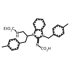 CCOC(=O)NCC(Cc1ccc(C)cc1)n1/c(=N/C(=O)O)n(Cc2ccc(C)cc2)c2ccccc21